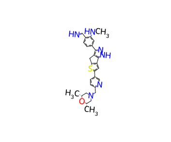 CNc1cc(-c2n[nH]c3c2Cc2sc(-c4ccc(CN5C[C@@H](C)O[C@@H](C)C5)nc4)cc2-3)ccc1C=N